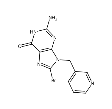 Nc1nc2c(nc(Br)n2Cc2cccnc2)c(=O)[nH]1